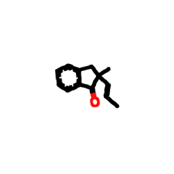 CC=CC1(C)Cc2ccccc2C1=O